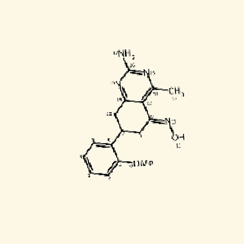 COc1ccccc1C1C/C(=N\O)c2c(C)nc(N)nc2C1